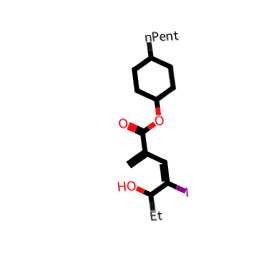 C=C(/C=C(/I)C(O)CC)C(=O)OC1CCC(CCCCC)CC1